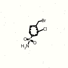 NS(=O)(=O)c1ccc(CBr)c(Cl)c1